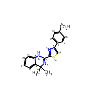 CC1(C)N=C(c2nc(-c3ccc(C(=O)O)cc3)cs2)Nc2ccccc21